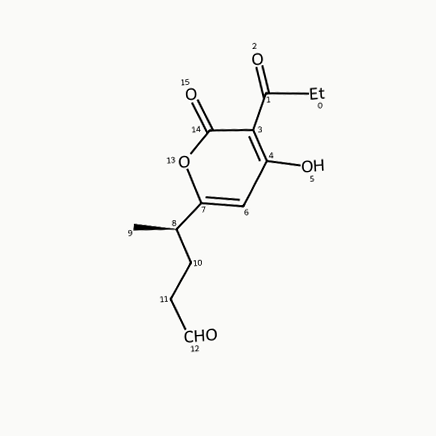 CCC(=O)c1c(O)cc([C@H](C)CCC=O)oc1=O